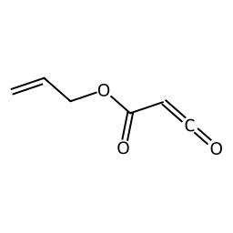 C=CCOC(=O)C=C=O